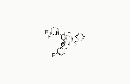 Cc1c(N(Cc2ccc(F)cc2)S(=O)(=O)CCN2CCCC(F)(F)C2)sc2ccccc12